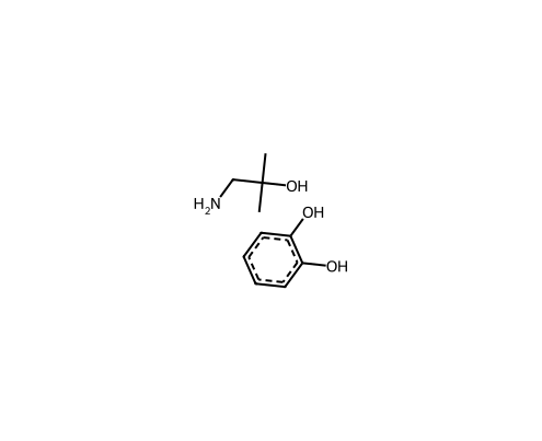 CC(C)(O)CN.Oc1ccccc1O